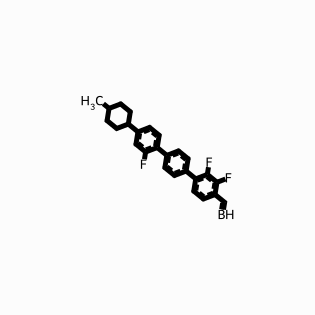 B=Cc1ccc(-c2ccc(-c3ccc(C4CCC(C)CC4)cc3F)cc2)c(F)c1F